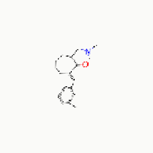 Cc1cccc(C=C2CCCCC(CN(C)C)C2=O)c1